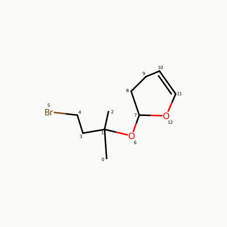 CC(C)(CCBr)OC1CCC=CO1